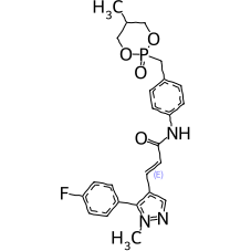 CC1COP(=O)(Cc2ccc(NC(=O)/C=C/c3cnn(C)c3-c3ccc(F)cc3)cc2)OC1